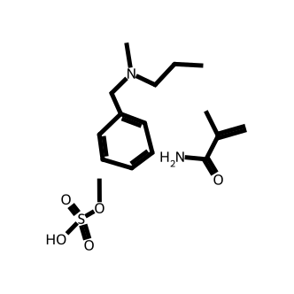 C=C(C)C(N)=O.CCCN(C)Cc1ccccc1.COS(=O)(=O)O